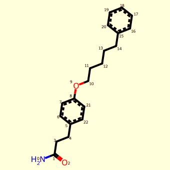 NC(=O)CCc1ccc(OCCCCCc2ccccc2)cc1